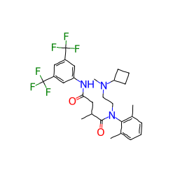 Cc1cccc(C)c1N(CCN(C)C1CCC1)C(=O)C(C)CC(=O)Nc1cc(C(F)(F)F)cc(C(F)(F)F)c1